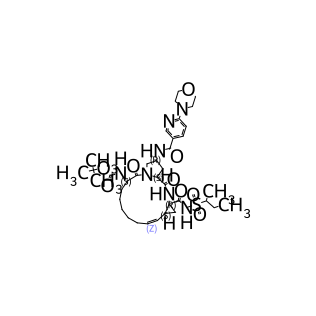 CCC(C)S(=O)(=O)NC(=O)[C@@]12C[C@H]1/C=C\CCCCC[C@H](NC(=O)OC(C)(C)C)C(=O)N1C[C@H](NC(=O)c3ccc(N4CCOCC4)nc3)C[C@H]1C(=O)N2